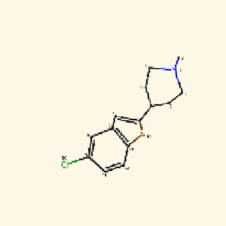 CN1CCC(c2cc3cc(Cl)ccc3s2)CC1